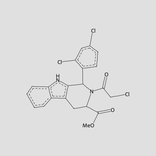 COC(=O)C1Cc2c([nH]c3ccccc23)C(c2ccc(Cl)cc2Cl)N1C(=O)CCl